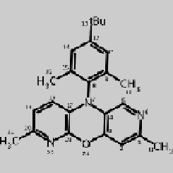 Cc1cc2c(cn1)N(c1c(C)cc(C(C)(C)C)cc1C)c1ccc(C)nc1O2